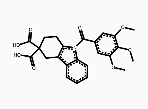 COc1cc(C(=O)n2c3c(c4ccccc42)CC(C(=O)O)(C(=O)O)CC3)cc(OC)c1OC